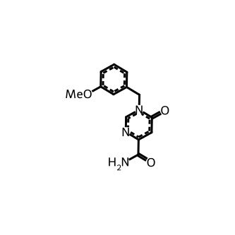 COc1cccc(Cn2cnc(C(N)=O)cc2=O)c1